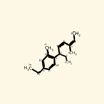 C/C=C(C)\C=C/C(CC)c1ccc(CC)cc1C